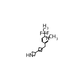 CN1C=C(CC23CC(C4CNC4)(C2)C3)C=CC1C(C)(F)F